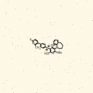 CCCCc1nc(O)c(S(=O)(=O)c2ccc(-c3ccc(F)nc3C)cc2)c(O)c1N1CCCCc2ccccc21